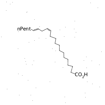 CCCCCC=CC/C=C\CCCCCCCCCCCC(=O)O